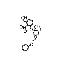 C=Cc1cccc(OC2(C)CCN(CCOc3ccccc3)C2)c1[N+](=O)[O-]